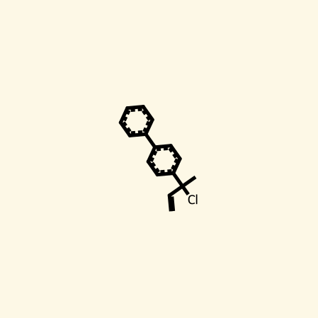 C=CC(C)(Cl)c1ccc(-c2ccccc2)cc1